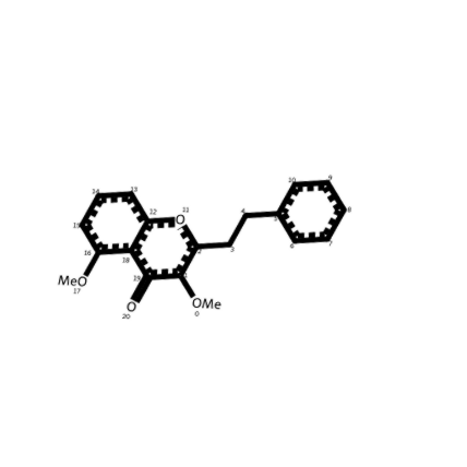 COc1c(CCc2ccccc2)oc2cccc(OC)c2c1=O